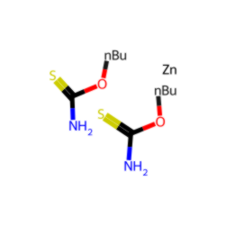 CCCCOC(N)=S.CCCCOC(N)=S.[Zn]